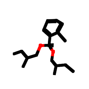 CCC(C)CO[SiH](OCC(C)CC)c1ccccc1C